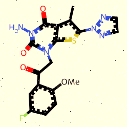 COc1ccc(F)cc1C(=O)Cn1c(=O)n(N)c(=O)c2c(C)c(-n3nccn3)sc21